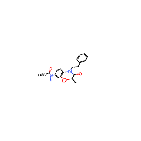 CCCCC(=O)Nc1ccc2c(c1)OC(C)C(=O)N2CCc1ccccc1